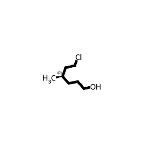 C[C@@H](CCCl)CCCO